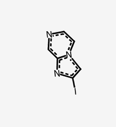 Ic1cn2ccncc2n1